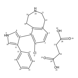 Clc1ccc2c(c1-c1c[nH]cc1-c1ccccc1)CCNCC2.O=C(O)CCC(=O)O